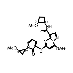 CNc1cc(Nc2cccn([C@@H]3C[C@H]3OC)c2=O)nc2c(C(=O)N[C@@H]3CC[C@H]3OC)cnn12